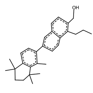 CCCc1c(CO)ccc2cc(-c3ccc4c(c3C)C(C)(C)CCC4(C)C)ccc12